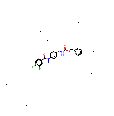 O=C(NC[C@H]1CC[C@@H](NC(=O)c2ccc(F)c(F)c2)CC1)OCc1ccccc1